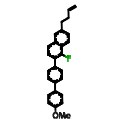 C=CCCc1ccc2c(F)c(-c3ccc(-c4ccc(OC)cc4)cc3)ccc2c1